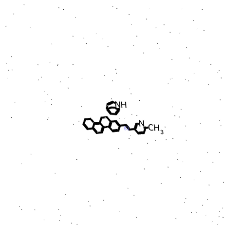 C1=CC2=CC=C(CC2)N1.Cc1ccc(/C=C/c2ccc3c(c2)CCc2c-3ccc3c2CCC=C3)cn1